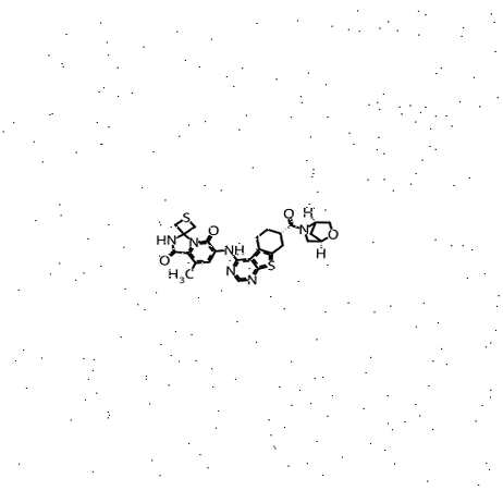 Cc1cc(Nc2ncnc3sc4c(c23)CC[C@H](C(=O)N2C[C@H]3C[C@@H]2CO3)C4)c(=O)n2c1C(=O)NC21CSC1